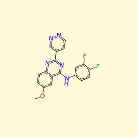 COc1ccc2nc(-c3ccnnc3)nc(Nc3ccc(F)c(F)c3)c2c1